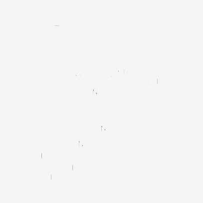 CCCCS(=O)(=O)N1Cc2ccc(C(F)(F)F)nc2Nc2ccc(C)c(C)c21